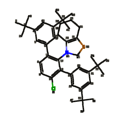 CC(C)(C)c1cc(-c2ccc(Cl)c(-c3cc(C(C)(C)C)cc(C(C)(C)C)c3)c2N2[C]SC3=C2CCCC3)cc(C(C)(C)C)c1